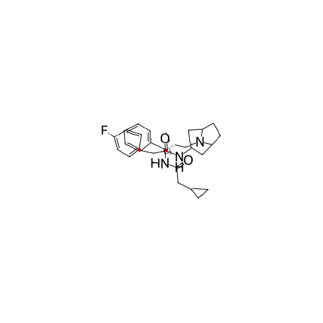 O=C(Cc1ccc(F)cc1)NC1CC2CCC(C1)N2CC[C@H](NC(=O)CC1CC1)c1ccccc1